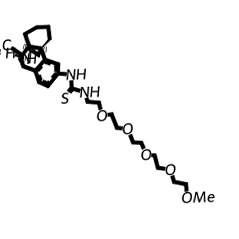 COCCOCCOCCOCCOCCNC(=S)Nc1ccc2c(c1)[C@@]13CCCC[C@H]1[C@@H](C2)N(C)CC3